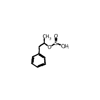 CC(Cc1ccccc1)OS(=O)O